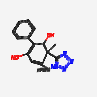 CCCCCC1=CC(O)=C(c2ccccc2)C(O)C1(C)c1nnn[nH]1